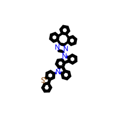 c1ccc2c(c1)-c1ccccc1-c1ncc(-n3c4ccccc4c4c5c6ccccc6n(-c6ccc7sc8ccccc8c7c6)c5ccc43)nc1-c1ccccc1-2